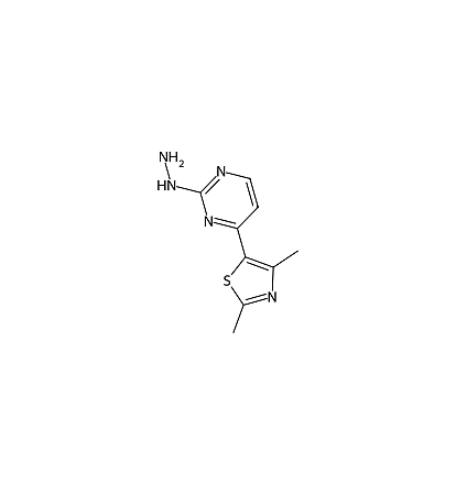 Cc1nc(C)c(-c2ccnc(NN)n2)s1